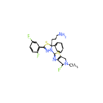 CN1Cc2sc(N3N=C(c4cc(F)ccc4F)SC3(CCCN)c3ccccc3)nc2C1F